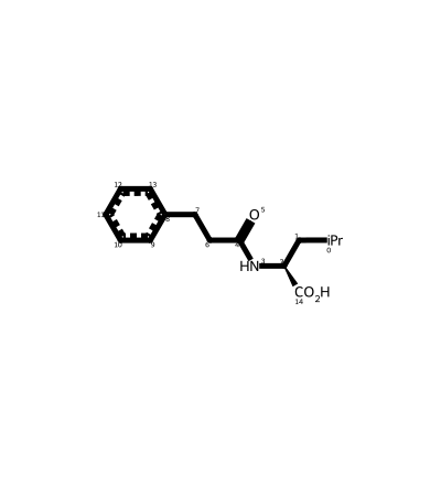 CC(C)C[C@H](NC(=O)CCc1ccccc1)C(=O)O